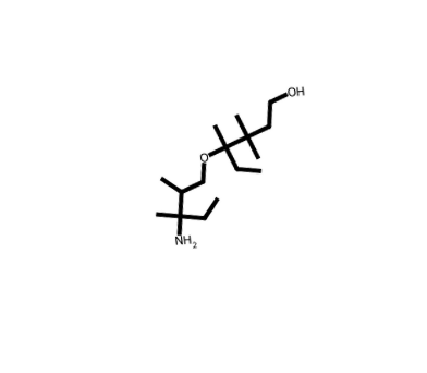 CCC(C)(N)C(C)COC(C)(CC)C(C)(C)CCO